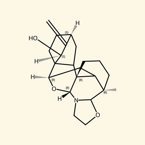 C=C1[C@H]2CCC3(C(C2)[C@@]24CCC[C@@]5(C)C6OCCN6[C@@H]2O[C@@H]3CC54)[C@H]1O